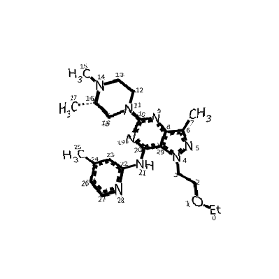 CCOCCn1nc(C)c2nc(N3CCN(C)[C@@H](C)C3)nc(Nc3cc(C)ccn3)c21